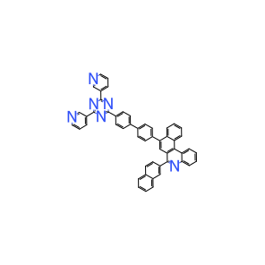 c1cncc(-c2nc(-c3ccc(-c4ccc(-c5cc6c(-c7ccc8ccccc8c7)nc7ccccc7c6c6ccccc56)cc4)cc3)nc(-c3cccnc3)n2)c1